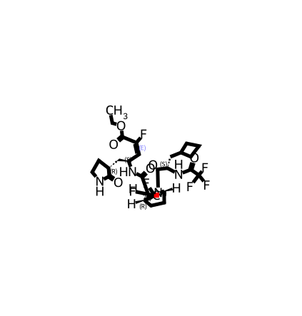 CCOC(=O)/C(F)=C\[C@H](C[C@H]1CCNC1=O)NC(=O)[C@@H]1[C@H]2CC[C@H](CC2(F)F)N1C(=O)[C@H](CC1CCC1)NC(=O)C(F)(F)F